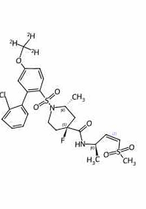 [2H]C([2H])([2H])Oc1ccc(S(=O)(=O)N2CC[C@@](F)(C(=O)N[C@H](C)/C=C\S(C)(=O)=O)C[C@H]2C)c(-c2ccccc2Cl)c1